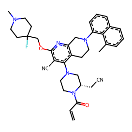 C=CC(=O)N1CCN(c2c(C#N)c(OCC3(F)CCN(C)CC3)nc3c2CCN(c2cccc4cccc(C)c24)C3)C[C@@H]1CC#N